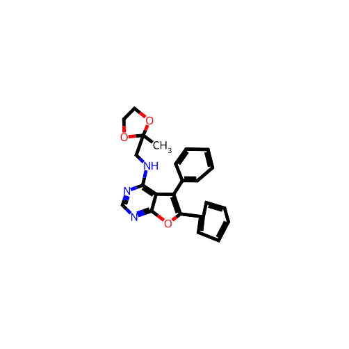 CC1(CNc2ncnc3oc(-c4ccccc4)c(-c4ccccc4)c23)OCCO1